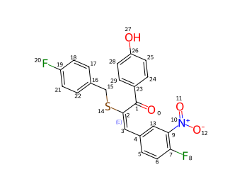 O=C(/C(=C\c1ccc(F)c([N+](=O)[O-])c1)SCc1ccc(F)cc1)c1ccc(O)cc1